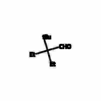 CCC(C=O)(CC)C(C)(C)C